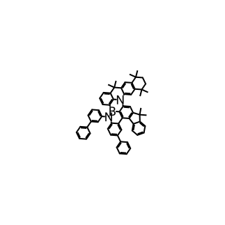 CC1(C)CCC(C)(C)c2cc3c(cc21)N1c2cc4c(c5c2B(c2cccc(c21)C3(C)C)N(c1cccc(-c2ccccc2)c1)c1ccc(-c2ccccc2)cc1-5)-c1ccccc1C4(C)C